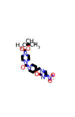 CC(C)(C)OC(=O)N1CCN(C(=O)N2CCC3(CC2)Cn2cc([N+](=O)[O-])nc2O3)CC1